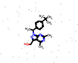 Cc1nc(C)c2c(CO)nn(C(C)c3ccc(C(C)(C)C)cc3)c2n1